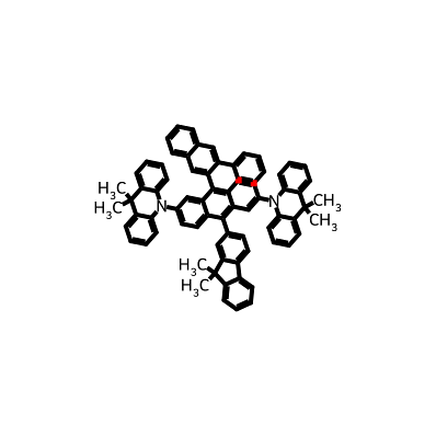 CC1(C)c2ccccc2-c2ccc(-c3c4cc(N5c6ccccc6C(C)(C)c6ccccc65)ccc4c(-c4cc5ccccc5cc4-c4ccccc4)c4cc(N5c6ccccc6C(C)(C)c6ccccc65)ccc34)cc21